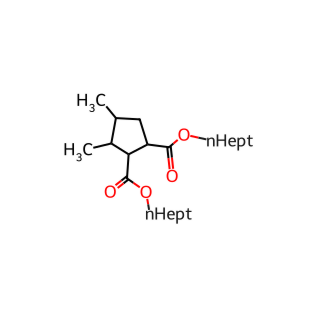 CCCCCCCOC(=O)C1CC(C)C(C)C1C(=O)OCCCCCCC